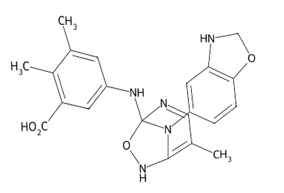 CC1=C2NOC(Nc3cc(C)c(C)c(C(=O)O)c3)(N=C1)N2c1ccc2c(c1)NCO2